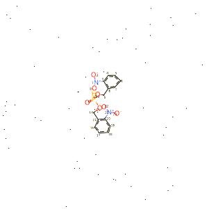 O=[N+]([O-])c1ccccc1CO[PH](=O)OCc1ccccc1[N+](=O)[O-]